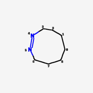 C1CCCN=NCCC1